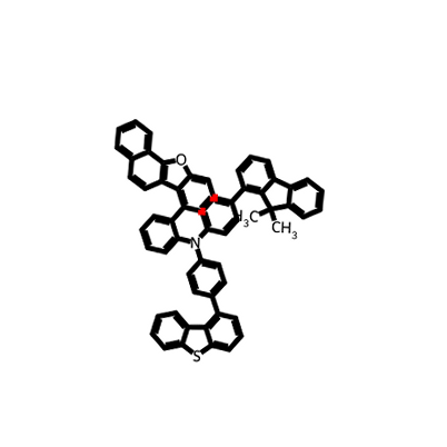 CC1(C)c2ccccc2-c2cccc(-c3ccc(N(c4ccc(-c5cccc6sc7ccccc7c56)cc4)c4ccccc4-c4cccc5oc6c7ccccc7ccc6c45)cc3)c21